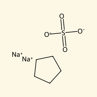 C1CCCC1.O=S(=O)([O-])[O-].[Na+].[Na+]